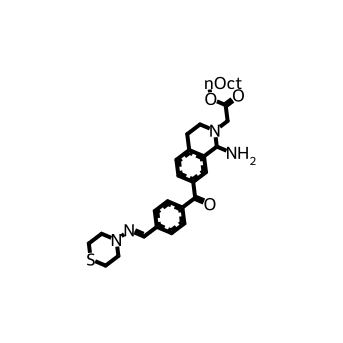 CCCCCCCCOC(=O)CN1CCc2ccc(C(=O)c3ccc(C=NN4CCSCC4)cc3)cc2C1N